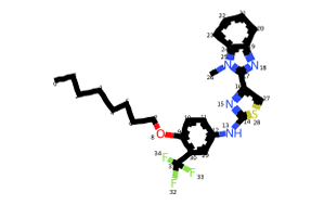 CCCCCCCCOc1ccc(Nc2nc(-c3nc4ccccc4n3C)cs2)cc1C(F)(F)F